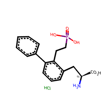 Cl.N[C@@H](Cc1cccc(-c2ccccc2)c1CCP(=O)(O)O)C(=O)O